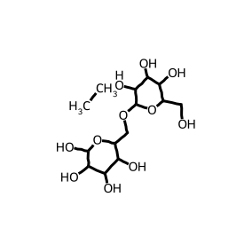 CC.OCC1OC(OCC2OC(O)C(O)C(O)C2O)C(O)C(O)C1O